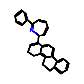 C1=CC(c2ccccc2)=NC(C2=CCCc3c2ccc2c3CCc3ccccc3-2)C=C1